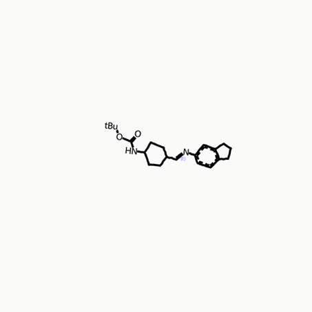 CC(C)(C)OC(=O)NC1CCC(/C=N/c2ccc3c(c2)CCC3)CC1